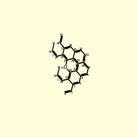 C=Cc1cc2ccccc2c(Oc2c(/C=C\C)c(C=C)cc3ccccc23)c1/C=C\C